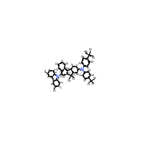 Cc1ccc2c(c1)c1cc(C)ccc1n2-c1cc2c(c3ccccc13)-c1ccc(N(c3ccc(C(C)(C)C)cc3)c3ccc(C(C)(C)C)cc3)cc1C2(C)C